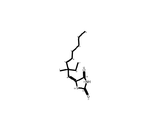 CCCCCCC(C)(/C=C1/SC(=O)NC1=O)CC